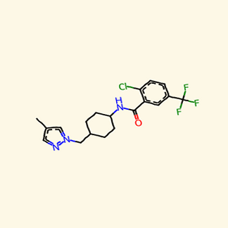 Cc1cnn(CC2CCC(NC(=O)c3cc(C(F)(F)F)ccc3Cl)CC2)c1